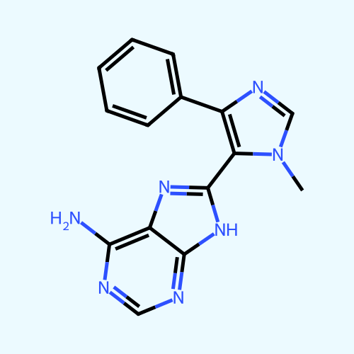 Cn1cnc(-c2ccccc2)c1-c1nc2c(N)ncnc2[nH]1